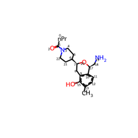 CCCC(=O)N1CCC([C@@H]2Cc3c(ccc(C)c3O)[C@H](CN)O2)CC1